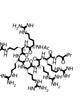 CC(=O)N[C@@H](CCCNC(=N)N)C(=O)N[C@@H](CCCNC(=N)N)C(=O)N[C@@H](CCCNC(=N)N)C(=O)N[C@@H](CCCNC(=N)N)C(=O)N[C@@H](CCCNC(=N)N)C(=O)N[C@@H](CCCCNC(=N)N)C(=O)NCC(=O)C(C)C